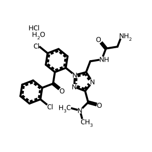 CN(C)C(=O)c1nc(CNC(=O)CN)n(-c2ccc(Cl)cc2C(=O)c2ccccc2Cl)n1.Cl.O